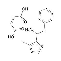 Cc1ccsc1C(N)Cc1ccccc1.O=C(O)/C=C\C(=O)O